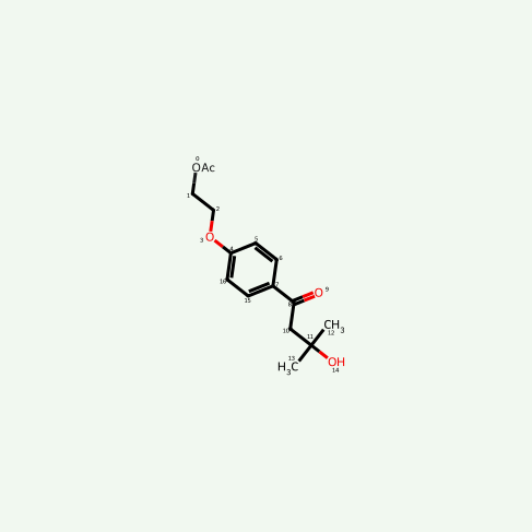 CC(=O)OCCOc1ccc(C(=O)CC(C)(C)O)cc1